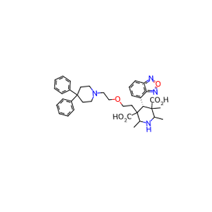 CC1NC(C)C(CCOCCN2CCC(c3ccccc3)(c3ccccc3)CC2)(C(=O)O)[C@H](c2cccc3nonc23)C1(C)C(=O)O